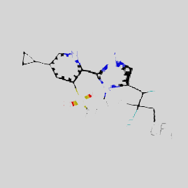 CCS(=O)(=O)c1cc(C2CC2)cnc1-c1ncc(C(F)C(F)(CC(F)(F)F)C(F)(F)F)n1C